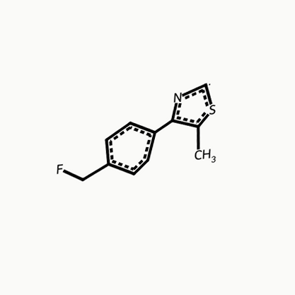 Cc1s[c]nc1-c1ccc(CF)cc1